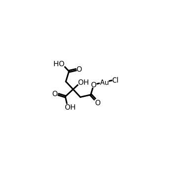 O=C(O)CC(O)(CC(=O)[O][Au][Cl])C(=O)O